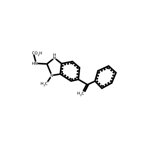 C=C(c1ccccc1)c1ccc2c(c1)N(C)C(NC(=O)O)N2